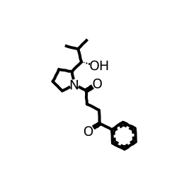 CC(C)[C@H](O)C1CCCN1C(=O)CCC(=O)c1ccccc1